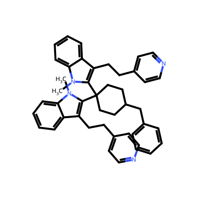 Cn1c(C2(c3c(CCc4ccncc4)c4ccccc4n3C)CCC(Cc3ccccc3)CC2)c(CCc2ccncc2)c2ccccc21